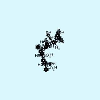 Cc1cc(N=Nc2c(OS(=O)O)cc3c(S(=O)(=O)O)c(N=Nc4c(Nc5ccccc5)ccc5c(O)c(N=Nc6ccc7c(O)c(N=Nc8ccccc8S(=O)(=O)O)c(SOOO)cc7c6)c(S(=O)(=O)O)cc45)ccc3c2O)c(OCCCSOOO)cc1N=Nc1cc(OS(=O)O)cc2cc(OS(=O)O)cc(O)c12